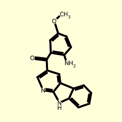 COc1ccc(N)c(C(=O)c2cnc3[nH]c4ccccc4c3c2)c1